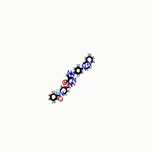 O=C(N1CCC(O)(Cn2cnc3c(cnn3-c3ccc(N4CCN5CCCCC5C4)cc3)c2=O)CC1)C1(F)C=CC=CC1